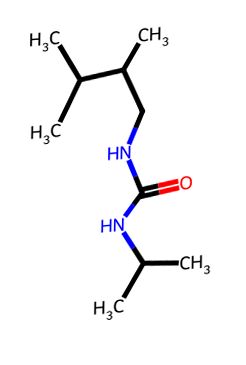 CC(C)NC(=O)NCC(C)C(C)C